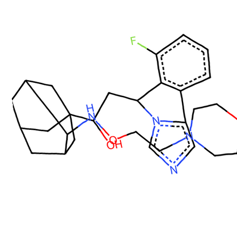 OC(CC1c2c(F)cccc2-c2cncn21)C12CC3CC(C1)C(NOCCN1CCOCC1)C(C3)C2